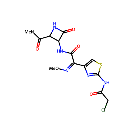 CNC(=O)C1NC(=O)C1NC(=O)/C(=N\OC)c1csc(NC(=O)CCl)n1